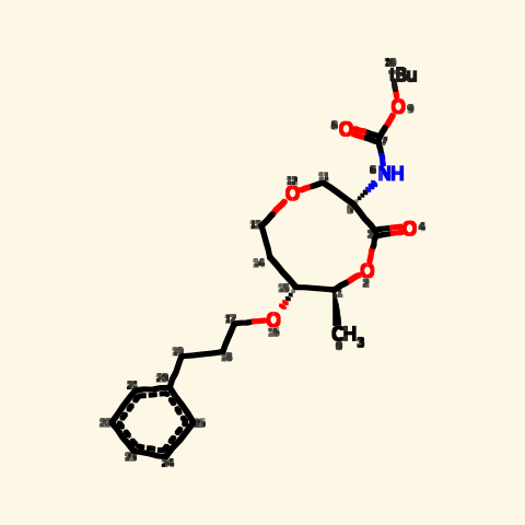 C[C@@H]1OC(=O)[C@@H](NC(=O)OC(C)(C)C)COCC[C@H]1OCCCc1ccccc1